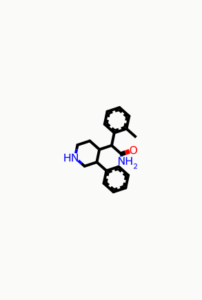 Cc1ccccc1C(C(N)=O)C1CCNCC1c1ccccc1